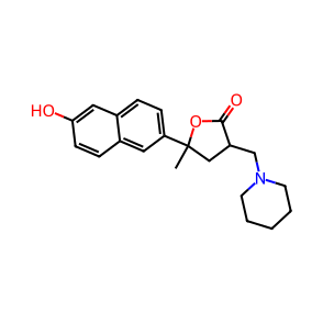 CC1(c2ccc3cc(O)ccc3c2)CC(CN2CCCCC2)C(=O)O1